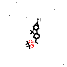 CCC1c2cc3c(cc21)C(C)(C)c1cc(C(C)B2OC(C)(C)C(C)(C)O2)ccc1-3